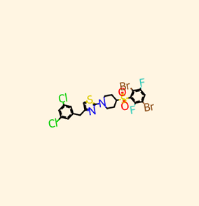 O=S(=O)(c1c(F)c(Br)cc(F)c1Br)C1CCN(c2nc(Cc3cc(Cl)cc(Cl)c3)cs2)CC1